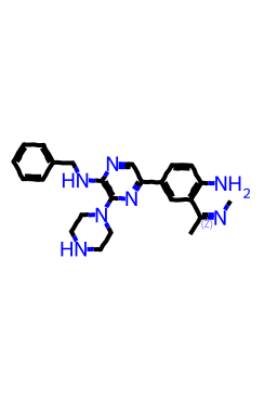 C/N=C(/C)c1cc(-c2cnc(NCc3ccccc3)c(N3CCNCC3)n2)ccc1N